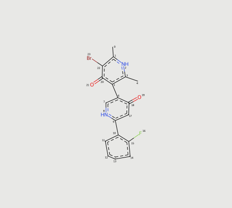 Cc1[nH]c(C)c(-c2c[nH]c(-c3ccccc3F)cc2=O)c(=O)c1Br